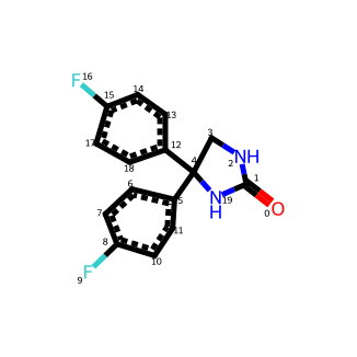 O=C1NCC(c2ccc(F)cc2)(c2ccc(F)cc2)N1